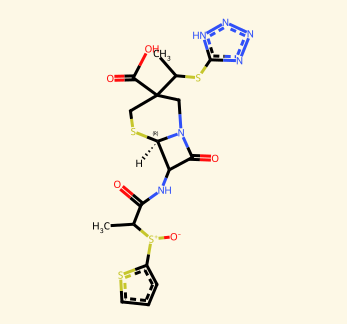 CC(C(=O)NC1C(=O)N2CC(C(=O)O)(C(C)Sc3nnn[nH]3)CS[C@H]12)[S+]([O-])c1cccs1